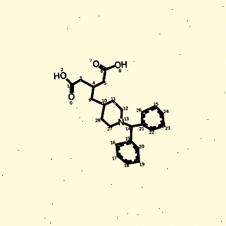 O=C(O)CC(CC(=O)O)CC1CCN(C(c2ccccc2)c2ccccc2)CC1